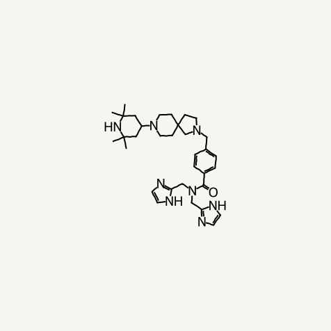 CC1(C)CC(N2CCC3(CCN(Cc4ccc(C(=O)N(Cc5ncc[nH]5)Cc5ncc[nH]5)cc4)C3)CC2)CC(C)(C)N1